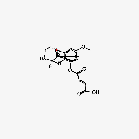 COc1cc(OC(=O)/C=C/C(=O)O)c2c(c1)[C@]13CCN[C@H](C2)[C@@H]1OC(C)(C)OC3